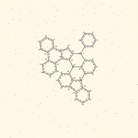 c1ccc(N2c3cccc4c3B(c3c2sc2c5ccccc5c5ccccc5c32)c2cccc3c5ccccc5n-4c23)cc1